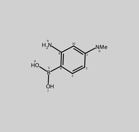 CNc1ccc(B(O)O)c(N)c1